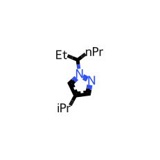 CCCC(CC)n1cc(C(C)C)cn1